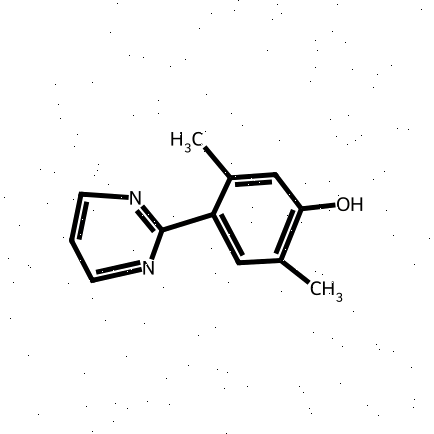 Cc1cc(-c2ncccn2)c(C)cc1O